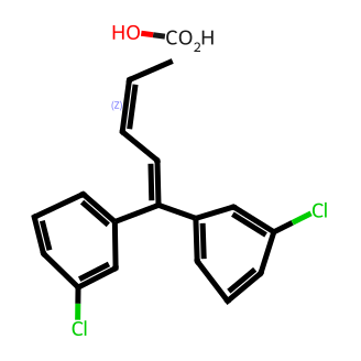 C/C=C\C=C(c1cccc(Cl)c1)c1cccc(Cl)c1.O=C(O)O